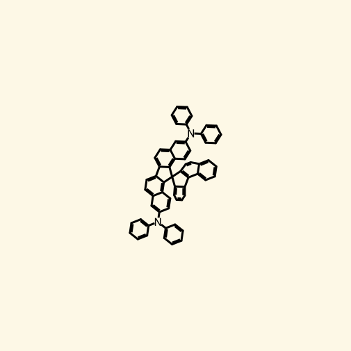 c1ccc(N(c2ccccc2)c2ccc3c4c(ccc3c2)-c2ccc3cc(N(c5ccccc5)c5ccccc5)ccc3c2C42c3ccccc3-c3c2ccc2ccccc32)cc1